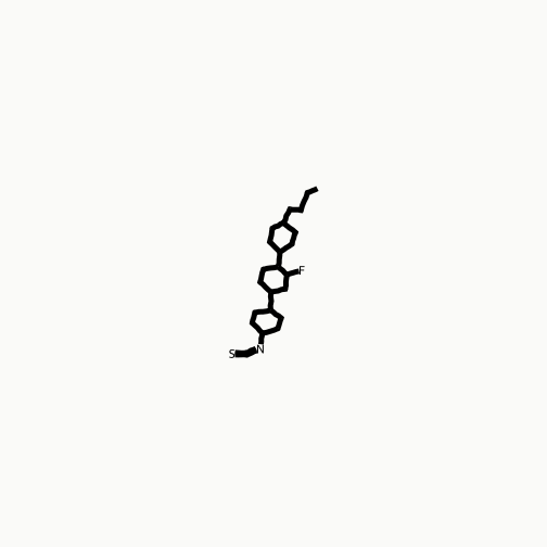 CCCCC1CCC(C2CCC(C3CCC(N=C=S)CC3)CC2F)CC1